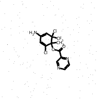 CC1(OC(=O)c2cnccn2)C(Cl)=CC(N)=CC1(Cl)C(F)(F)F